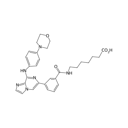 O=C(O)CCCCCCNC(=O)c1cccc(-c2cn3ccnc3c(Nc3ccc(N4CCOCC4)cc3)n2)c1